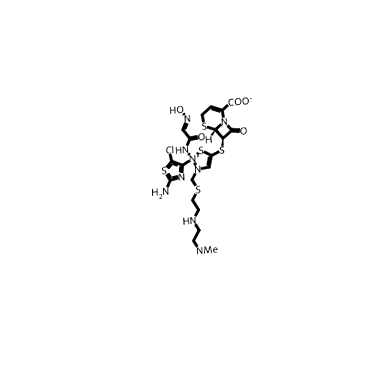 CNCCNCCSCN1C=C(S[C@@H]2C(=O)N3C(C(=O)[O-])=CCS[C@@H]23)S[N+]1(NC(=O)C=NO)c1nc(N)sc1Cl